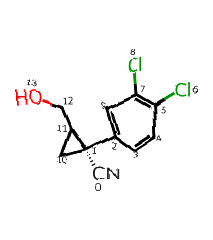 N#C[C@]1(c2ccc(Cl)c(Cl)c2)CC1CO